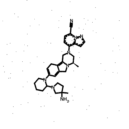 C[C@@H]1CN(c2ccc(C#N)n3nccc23)CC2=C3CC=C(N4CCCCC4N4CCC(C)(N)C4)C=C3CN21